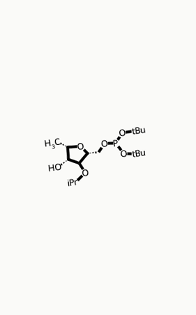 CC(C)OC1[C@@H](COP(OC(C)(C)C)OC(C)(C)C)O[C@@H](C)[C@H]1O